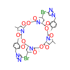 CC(C)C[C@H]1C(=O)O[C@H](Cc2ccc(Cn3cnc(Br)c3)cc2)C(=O)N(C)[C@@H](CC(C)C)C(=O)O[C@H](C)C(=O)N(C)[C@@H](CC(C)C)C(=O)O[C@H](Cc2ccc(Cn3cnc(Br)c3)cc2)C(=O)N(C)[C@@H](CC(C)C)C(=O)O[C@H](C)C(=O)N1C